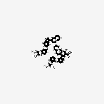 CC(C)(C)Oc1ccccc1Sc1ccc2sc(C(C(=O)O)C(=O)O)c(C3CCC4CCCCN4CC3)c2c1.CCC(C)Oc1ccc(Sc2ccc3occ(C4CCN5CCCCC5C4)c3c2)cc1